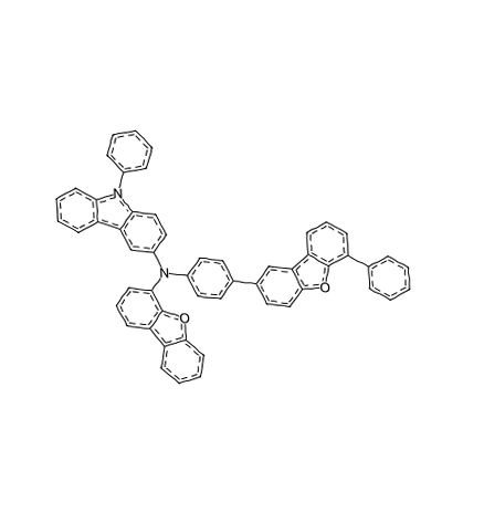 c1ccc(-c2cccc3c2oc2ccc(-c4ccc(N(c5ccc6c(c5)c5ccccc5n6-c5ccccc5)c5cccc6c5oc5ccccc56)cc4)cc23)cc1